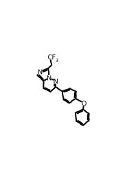 FC(F)(F)Cc1ncc2ccc(-c3ccc(Oc4ccccc4)cc3)nn12